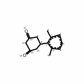 Cc1cccc(C)c1C1CC(=O)CC(=O)C1